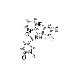 Cc1cc([C@H](NC(=O)c2ccc(=O)n(C)c2)c2ncccc2F)ccc1F